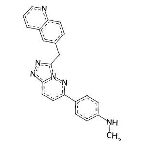 CNc1ccc(-c2ccc3nnc(Cc4ccc5ncccc5c4)n3n2)cc1